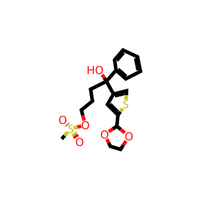 CS(=O)(=O)OCCCC(O)(c1ccccc1)c1csc(C2OCCO2)c1